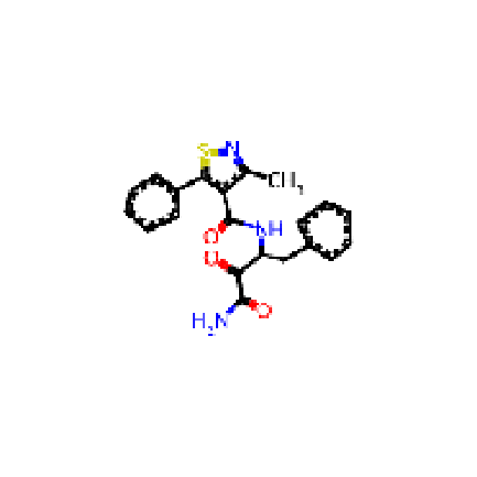 Cc1nsc(-c2ccccc2)c1C(=O)N[C@@H](Cc1ccccc1)C(=O)C(N)=O